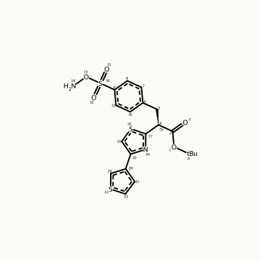 CC(C)(C)OC(=O)[C@H](Cc1ccc(S(=O)(=O)ON)cc1)c1nc(-c2ccsc2)cs1